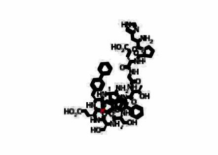 C[C@@H](O)[C@H](NC(=O)CNC(=O)[C@H](CCC(=O)O)NC(=O)[C@]1(C)CCCN1C(=O)C(N)Cc1c[nH]cn1)C(=O)NC(C)(Cc1ccccc1F)C(=O)N[C@H](C(=O)N[C@@H](CO)C(=O)N[C@@H](CCC(=O)O)C(=O)N[C@@H](Cc1ccc(-c2ccccc2)cc1)C(=O)N[C@](C)(Cc1ccc(-c2ccccc2)cc1)C(N)=O)[C@@H](C)O